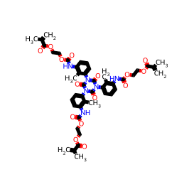 C=C(C)C(=O)OCCOC(=O)Nc1cccc(-n2c(=O)n(-c3cccc(NC(=O)OCCOC(=O)C(=C)C)c3C)c(=O)n(-c3cccc(NC(=O)OCCOC(=O)C(=C)C)c3C)c2=O)c1C